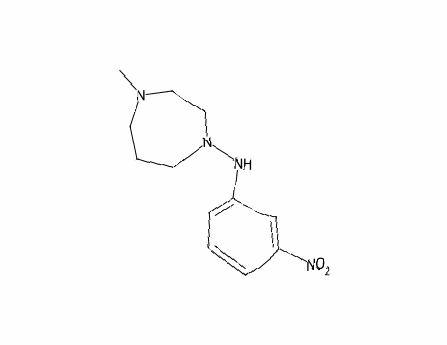 CN1CCCN(Nc2cccc([N+](=O)[O-])c2)CC1